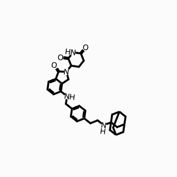 O=C1CCC(N2Cc3c(NCc4ccc(CCNC56CC7CC(CC(C7)C5)C6)cc4)cccc3C2=O)C(=O)N1